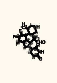 CC1CNCC(C)C1c1c(F)c(F)c(F)c2c1C(C(=O)C=O)N(C1CCC(=O)NC1=O)C2